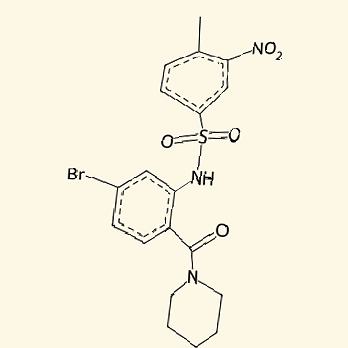 Cc1ccc(S(=O)(=O)Nc2cc(Br)ccc2C(=O)N2CCCCC2)cc1[N+](=O)[O-]